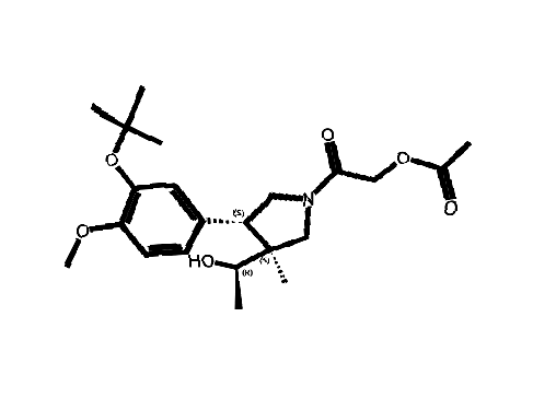 COc1ccc([C@@H]2CN(C(=O)COC(C)=O)C[C@@]2(C)[C@@H](C)O)cc1OC(C)(C)C